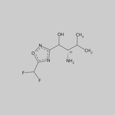 CC(C)[C@H](N)C(O)c1noc(C(F)F)n1